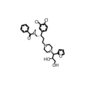 CN(C[C@@H](CCN1CCN(C(c2ccco2)[C@H](O)CO)CC1)c1ccc(Cl)c(Cl)c1)C(=O)c1ccccc1